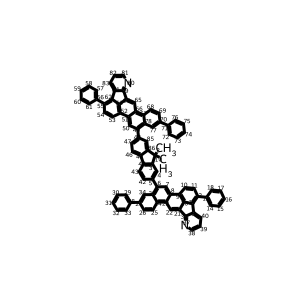 CC1(C)c2cc(-c3cc4c5ccc(-c6ccccc6)c6c5c(cc4c4ccc(-c5ccccc5)cc34)-c3ncccc3-6)ccc2-c2ccc(-c3cc4c5ccc(-c6ccccc6)c6c5c(cc4c4ccc(-c5ccccc5)cc34)-c3ncccc3-6)cc21